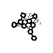 N#Cc1ccc(-n2c3ccccc3c3cc(-c4ccccc4)ccc32)c(-c2ccc(-c3c(C(F)(F)F)cccc3C(F)(F)F)cc2-n2c3ccccc3c3cc(-c4ccccc4)ccc32)c1